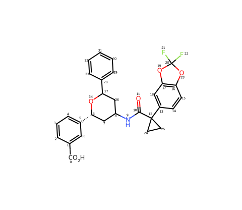 O=C(O)c1cccc([C@H]2CC(NC(=O)C3(c4ccc5c(c4)OC(F)(F)O5)CC3)CC(c3ccccc3)O2)c1